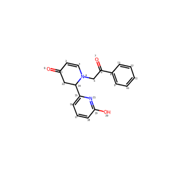 O=C1C=CN(CC(=O)c2ccccc2)C(c2cccc(O)n2)C1